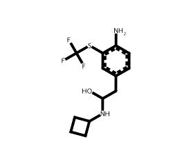 Nc1ccc(CC(O)NC2CCC2)cc1SC(F)(F)F